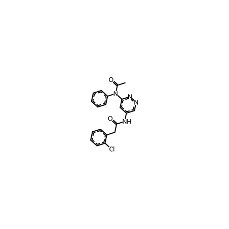 CC(=O)N(c1ccccc1)c1cc(NC(=O)Cc2ccccc2Cl)cnn1